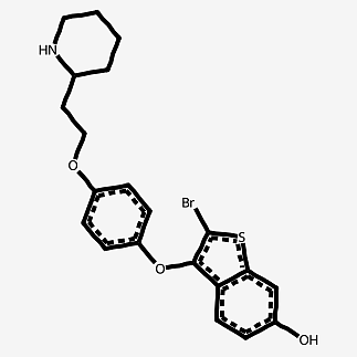 Oc1ccc2c(Oc3ccc(OCCC4CCCCN4)cc3)c(Br)sc2c1